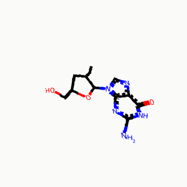 CC1CC(CO)OC1n1cnc2c(=O)[nH]c(N)nc21